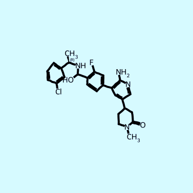 C[C@@H](NC(O)c1ccc(-c2cc(C3CCN(C)C(=O)C3)cnc2N)cc1F)c1cccc(Cl)c1